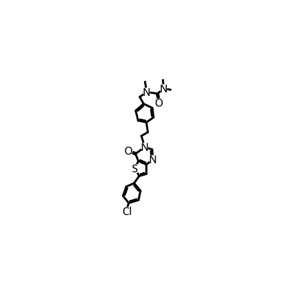 CN(C)C(=O)N(C)Cc1ccc(CCn2cnc3cc(-c4ccc(Cl)cc4)sc3c2=O)cc1